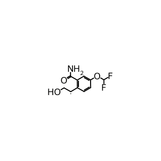 NC(=O)c1cc(OC(F)F)ccc1[CH]CO